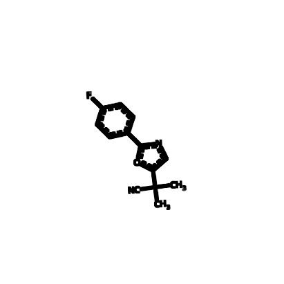 CC(C)(C#N)c1cnc(-c2ccc(F)cc2)o1